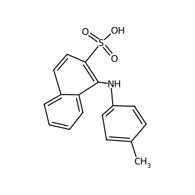 Cc1ccc(Nc2c(S(=O)(=O)O)ccc3ccccc23)cc1